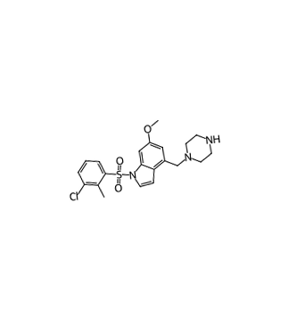 COc1cc(CN2CCNCC2)c2ccn(S(=O)(=O)c3cccc(Cl)c3C)c2c1